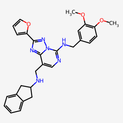 COc1ccc(CNc2ncc(CNC3Cc4ccccc4C3)c3nc(-c4ccco4)nn23)cc1OC